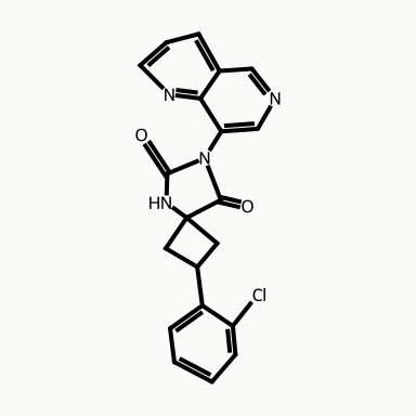 O=C1NC2(CC(c3ccccc3Cl)C2)C(=O)N1c1cncc2cccnc12